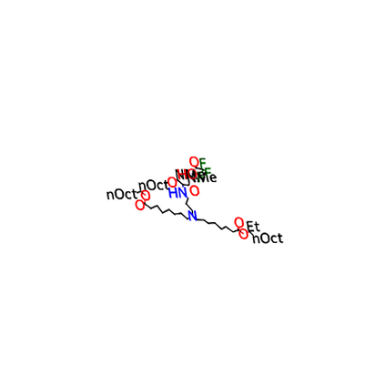 CCCCCCCCC(CC)OC(=O)CCCCCCCN(CCCCCCCC(=O)OC(CCCCCCCC)CCCCCCCC)CCCNC(C(=O)NC)C(=O)NC.O=C(O)C(F)(F)F